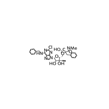 C#C[C@@]1(O)[C@@H](COC(Cc2ccccc2)(C(=O)O)C(=O)NC)O[C@@H](n2cnc3c(NCc4ccccc4)nc(Cl)nc32)[C@@H]1O